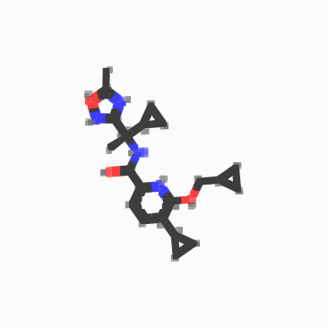 Cc1nc([C@@](C)(NC(=O)c2ccc(C3CC3)c(OCC3CC3)n2)C2CC2)no1